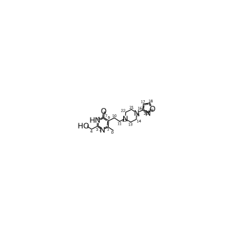 Cc1nc(CO)[nH]c(=O)c1CCN1CCN(c2ccon2)CC1